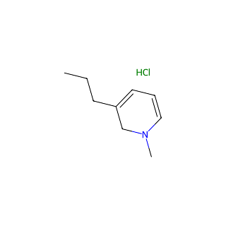 CCCC1=CC=CN(C)C1.Cl